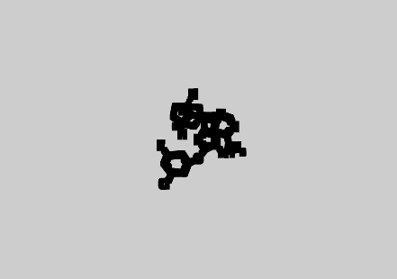 CCCn1nc(NC2[C@@H]3CC[C@H]2CN(c2cc(C)ncn2)C3)nc1Oc1cc(F)cc(Cl)c1